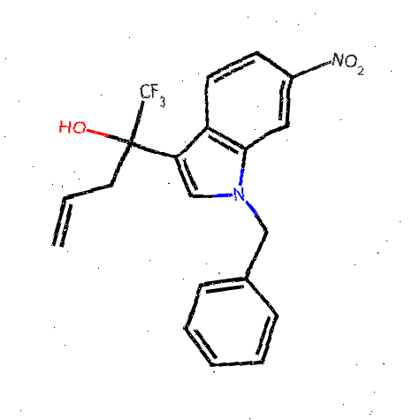 C=CCC(O)(c1cn(Cc2ccccc2)c2cc([N+](=O)[O-])ccc12)C(F)(F)F